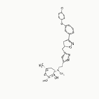 C[C@@H]1C[C@H](N(C)CCc2cn(CC3CC(c4cccc(Oc5ccc(Cl)cc5)c4)=NO3)nn2)[C@@H](O)[C@H](O)O1